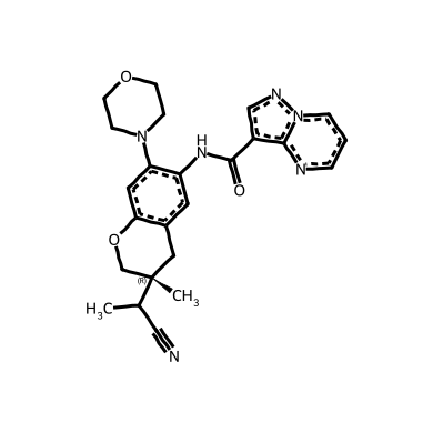 CC(C#N)[C@]1(C)COc2cc(N3CCOCC3)c(NC(=O)c3cnn4cccnc34)cc2C1